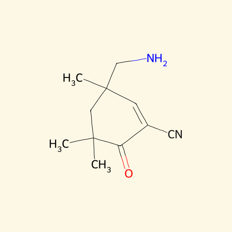 CC1(CN)C=C(C#N)C(=O)C(C)(C)C1